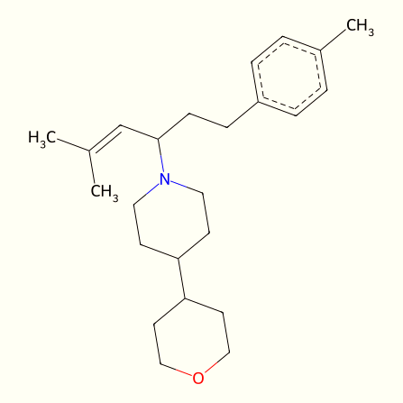 CC(C)=CC(CCc1ccc(C)cc1)N1CCC(C2CCOCC2)CC1